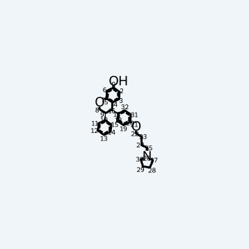 Oc1ccc2c(c1)OC[C@H](c1ccccc1)[C@@H]2c1ccc(OCCCCN2CCCC2)cc1